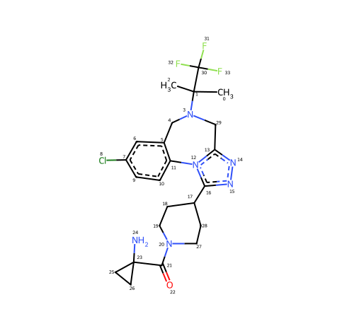 CC(C)(N1Cc2cc(Cl)ccc2-n2c(nnc2C2CCN(C(=O)C3(N)CC3)CC2)C1)C(F)(F)F